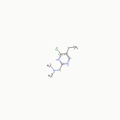 CCc1cnc(CN(C)C)nc1Cl